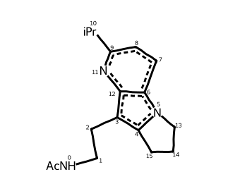 CC(=O)NCCc1c2n(c3ccc(C(C)C)nc13)CCC2